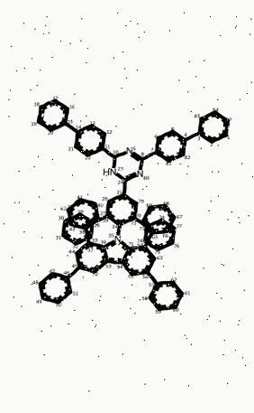 c1ccc(-c2ccc(C3=NC(c4ccc(-c5ccccc5)cc4)NC(c4cc(-c5ccccc5)c(-n5c6c(-c7ccccc7)cc(-c7ccccc7)cc6c6cc(-c7ccccc7)cc(-c7ccccc7)c65)c(-c5ccccc5)c4)=N3)cc2)cc1